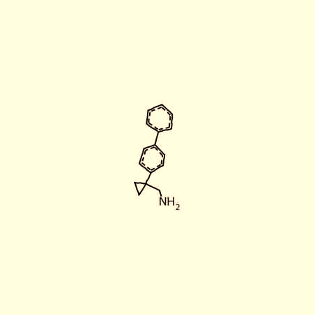 NCC1(c2ccc(-c3ccccc3)cc2)CC1